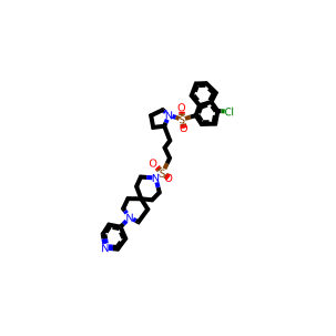 O=S(=O)(CCCC1CCCN1S(=O)(=O)c1ccc(Cl)c2ccccc12)N1CCC2(CCN(c3ccncc3)CC2)CC1